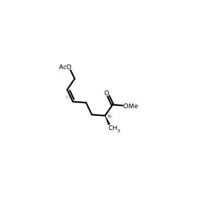 COC(=O)[C@@H](C)CC/C=C\COC(C)=O